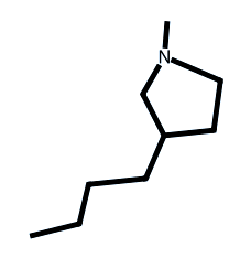 CCCCC1CCN(C)C1